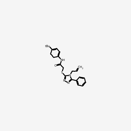 C=CCn1c(SCC(=O)NC2=CC=C(C(C)(C)C)CC2)nnc1-c1ccccc1